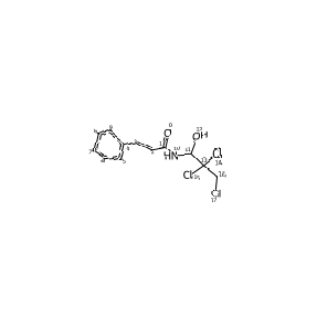 O=C(/C=C/c1ccccc1)NC(O)C(Cl)(Cl)CCl